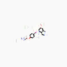 COc1cc(NC(=O)c2ccc(OCCN(C)C)cc2)c2ccncc2c1.Cl